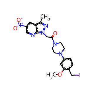 COc1cc(N2CCN(C(=O)Cn3nc(C)c4cc([N+](=O)[O-])cnc43)CC2)ccc1CI